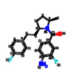 C[C@@H]1CC[C@H](CCc2ccc(F)cc2)N1C(=O)c1ccc(N)c(F)c1